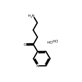 Cl.Cl.NCCCC(=O)c1cccnc1